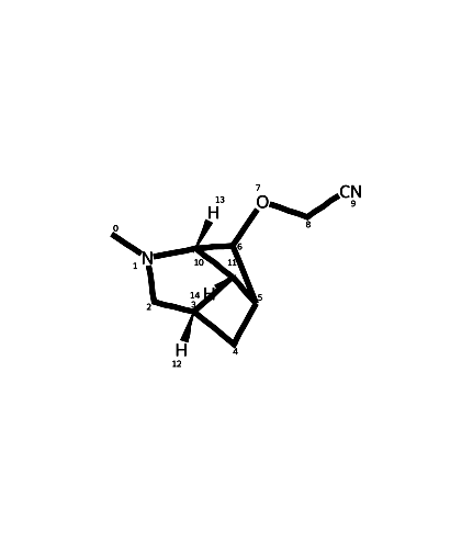 CN1C[C@H]2CC3C(OCC#N)[C@@H]1[C@H]32